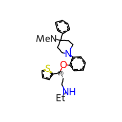 CCNCC[C@@H](Oc1ccccc1N1CCC(NC)(c2ccccc2)CC1)c1cccs1